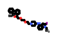 CC(C)(C)[Si](OCCOCCOCCN1CCC(Nc2cccc3c2cc(I)n3CC(F)(F)F)CC1)(c1ccccc1)c1ccccc1